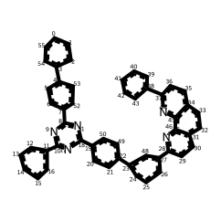 c1ccc(-c2ccc(-c3nc(-c4ccccc4)nc(-c4ccc(-c5cccc(-c6ccc7ccc8ccc(-c9ccccc9)nc8c7n6)c5)cc4)n3)cc2)cc1